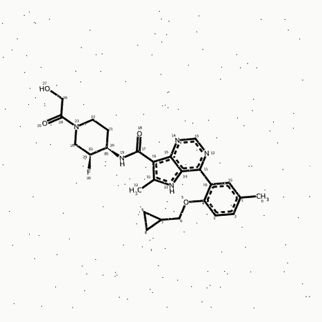 Cc1ccc(OCC2CC2)c(-c2ncnc3c(C(=O)N[C@@H]4CCN(C(=O)CO)C[C@@H]4F)c(C)[nH]c23)c1